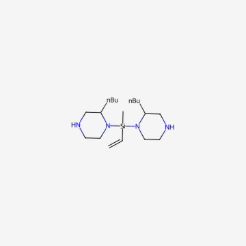 C=C[Si](C)(N1CCNCC1CCCC)N1CCNCC1CCCC